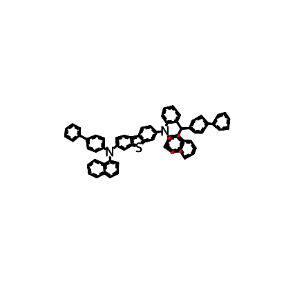 c1ccc(-c2ccc(C(c3ccccc3N(c3ccccc3)c3ccc4c(c3)sc3cc(N(c5ccc(-c6ccccc6)cc5)c5cccc6ccccc56)ccc34)c3cccc4ccccc34)cc2)cc1